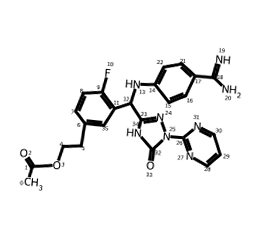 CC(=O)OCCc1ccc(F)c(C(Nc2ccc(C(=N)N)cc2)c2nn(-c3ncccn3)c(=O)[nH]2)c1